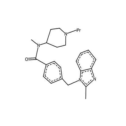 Cc1nc2ccccc2n1Cc1ccc(C(=O)N(C)C2CCN(C(C)C)CC2)cc1